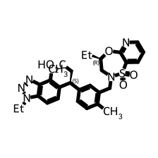 CC[C@@H]1CN(Cc2cc([C@H](CC(=O)O)c3ccc4c(nnn4CC)c3C)ccc2C)S(=O)(=O)c2cccnc2O1